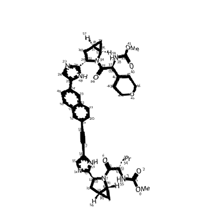 COC(=O)N[C@H](C(=O)N1[C@@H]2C[C@@H]2C[C@H]1c1ncc(C#Cc2ccc3cc(-c4cnc([C@@H]5C[C@H]6C[C@H]6N5C(=O)[C@@H](NC(=O)OC)C5CCOCC5)[nH]4)ccc3c2)[nH]1)C(C)C